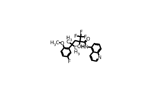 COc1ccc(F)cc1C(C)(C)CC(O)(C(=O)Nc1cccc2ncccc12)C(F)(F)F